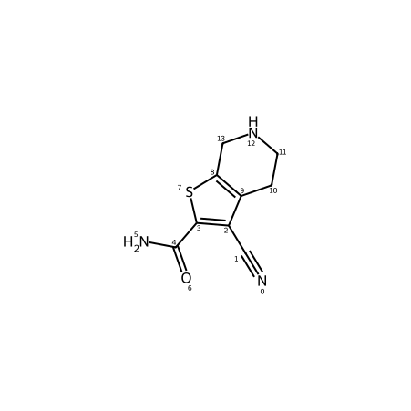 N#Cc1c(C(N)=O)sc2c1CCNC2